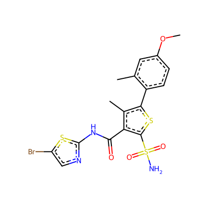 COc1ccc(-c2sc(S(N)(=O)=O)c(C(=O)Nc3ncc(Br)s3)c2C)c(C)c1